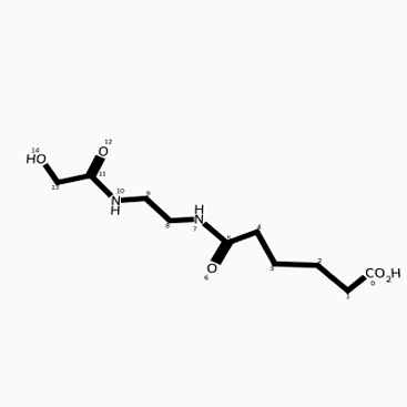 O=C(O)CCCCC(=O)NCCNC(=O)CO